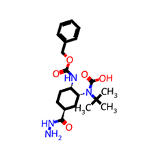 CC(C)(C)N(C(=O)O)[C@@H]1C[C@@H](C(=O)NN)CC[C@@H]1NC(=O)OCc1ccccc1